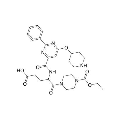 CCOC(=O)N1CCN(C(=O)C(CCC(=O)O)NC(=O)c2cc(OC3CCNCC3)nc(-c3ccccc3)n2)CC1